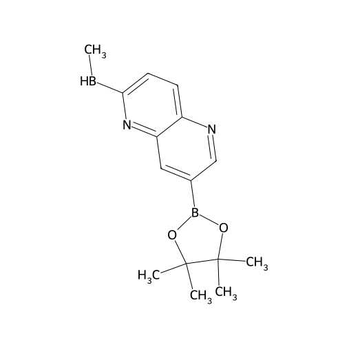 CBc1ccc2ncc(B3OC(C)(C)C(C)(C)O3)cc2n1